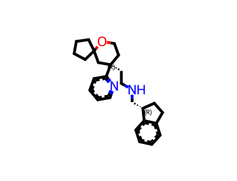 c1ccc([C@]2(CCNC[C@@H]3CCc4ccccc43)CCOC3(CCCC3)C2)nc1